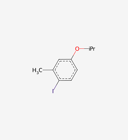 Cc1cc(OC(C)C)ccc1I